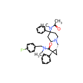 CC(=O)N(C)C1(c2ccccc2)CCN(C[C@@H]2C[C@@]2(C(=O)N(C)Cc2ccc(F)cc2)c2ccccc2)CC1